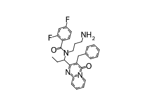 CCC(c1nc2ccccn2c(=O)c1Cc1ccccc1)N(CCCN)C(=O)c1ccc(F)cc1F